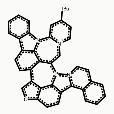 CC(C)(C)c1cc[n+]2cc3c4c(ccc5c6ccccc6n(c54)c2c1)c1coc2ccc4c5c6ccccc6cc[n+]5p3c4c21